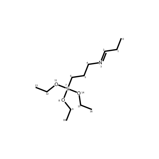 CCC=NCCC[Si](OCC)(OCC)OCC